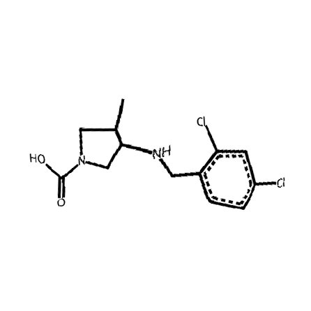 CC1CN(C(=O)O)CC1NCc1ccc(Cl)cc1Cl